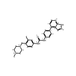 Cc1cc(NC(=O)Nc2ccc(-c3ccnc4[nH]ncc34)cc2)ccc1CN1CCN(C)CC1